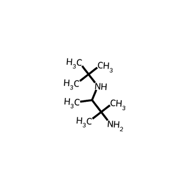 CC(NC(C)(C)C)C(C)(C)N